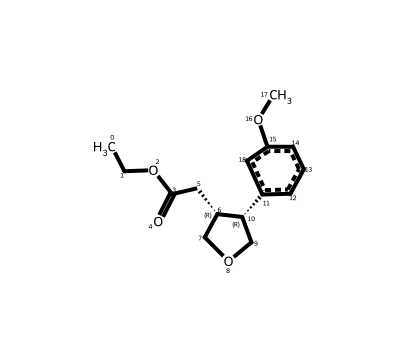 CCOC(=O)C[C@H]1COC[C@H]1c1cccc(OC)c1